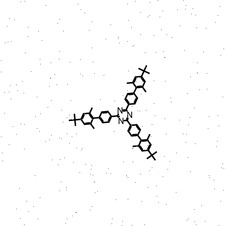 Cc1cc(C(C)(C)C)cc(C)c1-c1ccc(-c2nc(-c3ccc(-c4c(C)cc(C(C)(C)C)cc4C)cc3)nc(-c3ccc(-c4c(C)cc(C(C)(C)C)cc4C)cc3)n2)cc1